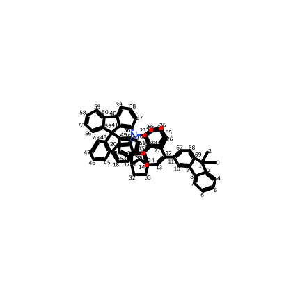 CC1(C)c2ccccc2-c2cc(-c3ccc(-c4ccccc4N(c4ccccc4C4CC5CCC4C5)c4cccc5c4C(c4ccccc4)(c4ccccc4)c4ccccc4-5)c4ccccc34)ccc21